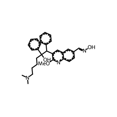 COc1nc2ccc(/C=N/O)cc2cc1C(c1ccccc1)C(O)(CCCCN(C)C)c1ccccc1